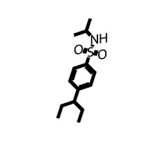 CCC(CC)c1ccc(S(=O)(=O)NC(C)C)cc1